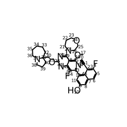 C#Cc1c(F)ccc2cc(O)cc(-c3nc(OC)c4c(N5CCCOCC5)nc(OCC56CCCCCN5CCC6)nc4c3F)c12